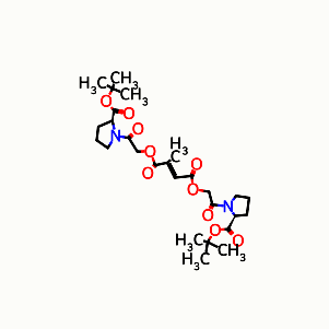 C/C(=C\C(=O)OCC(=O)N1CCC[C@H]1C(=O)OC(C)(C)C)C(=O)OCC(=O)N1CCC[C@H]1C(=O)OC(C)(C)C